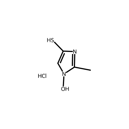 Cc1nc(S)cn1O.Cl